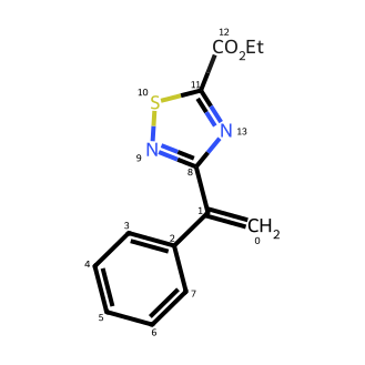 C=C(c1ccccc1)c1nsc(C(=O)OCC)n1